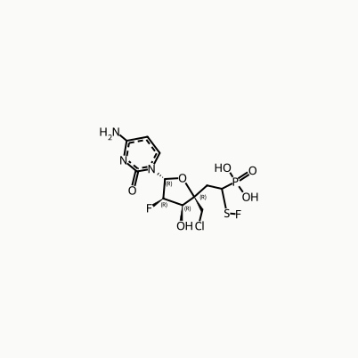 Nc1ccn([C@@H]2O[C@](CCl)(CC(SF)P(=O)(O)O)[C@@H](O)[C@H]2F)c(=O)n1